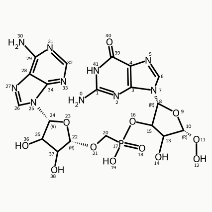 Nc1nc2c(ncn2[C@@H]2O[C@H](OO)C(O)C2OP(=O)(O)CO[C@H]2O[C@@H](n3cnc4c(N)ncnc43)C(O)C2O)c(=O)[nH]1